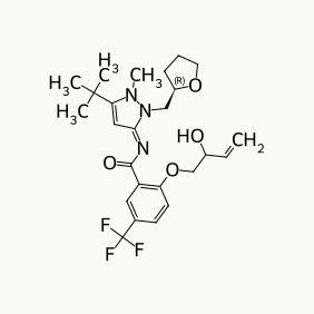 C=CC(O)COc1ccc(C(F)(F)F)cc1C(=O)N=c1cc(C(C)(C)C)n(C)n1C[C@H]1CCCO1